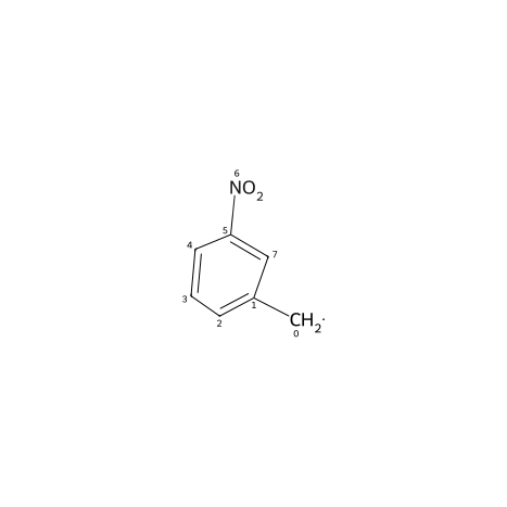 [CH2]c1cccc([N+](=O)[O-])c1